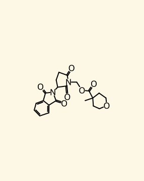 CC1(C(=O)OCN2C(=O)CCC(N3C(=O)c4ccccc4C3=O)C2=O)CCOCC1